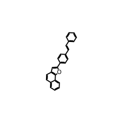 C(=C\c1ccc(-c2cc3ccc4ccccc4c3o2)cc1)/c1ccccc1